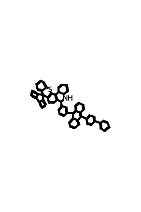 C1=CC2NC(c3cccc(-c4c5ccccc5c(-c5ccc(-c6ccccc6)cc5)c5ccccc45)c3)c3ccc4c(c3C2C=C1)Sc1ccccc1C41c2ccccc2-c2ccccc21